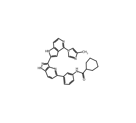 Cc1cn(-c2nccc3[nH]c(-c4n[nH]c5ccc(-c6cccc(NC(=O)C7CCCCC7)c6)nc45)cc23)cn1